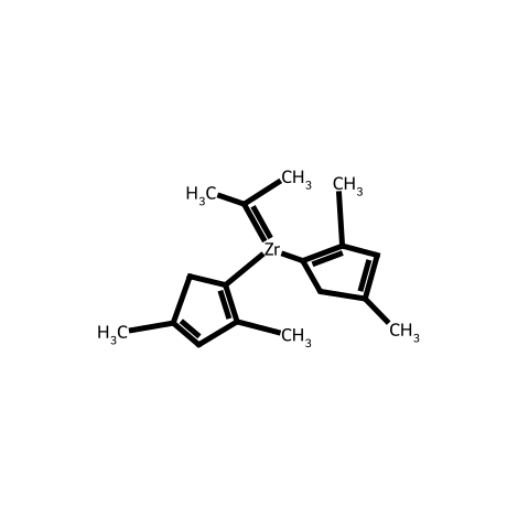 CC1=CC(C)=[C]([Zr]([C]2=C(C)C=C(C)C2)=[C](C)C)C1